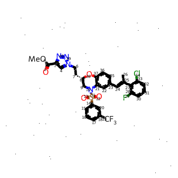 COC(=O)c1cn(CC[C@H]2CN(S(=O)(=O)c3cccc(C(F)(F)F)c3)c3cc(/C=C(\C)c4c(F)cccc4Cl)ccc3O2)nn1